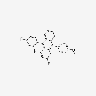 COc1ccc(-c2c3ccccc3c(-c3ccc(F)cc3F)c3ccc(F)cc23)cc1